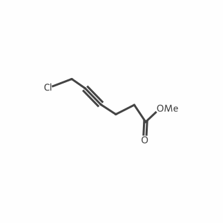 COC(=O)CCC#CCCl